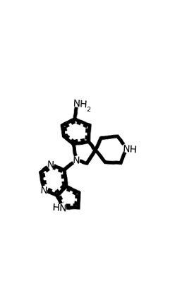 Nc1ccc2c(c1)C1(CCNCC1)CN2c1ncnc2[nH]ccc12